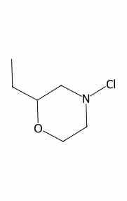 CCC1CN(Cl)CCO1